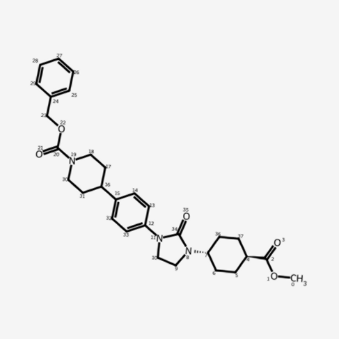 COC(=O)[C@H]1CC[C@H](N2CCN(c3ccc(C4CCN(C(=O)OCc5ccccc5)CC4)cc3)C2=O)CC1